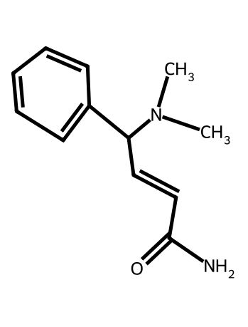 CN(C)C(C=CC(N)=O)c1ccccc1